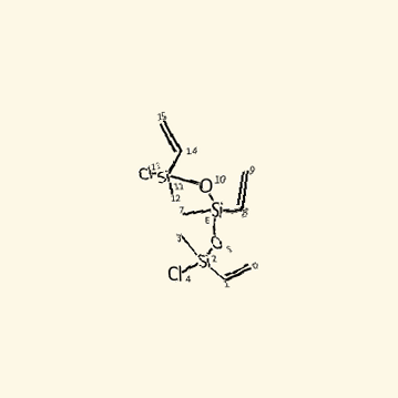 C=C[Si](C)(Cl)O[Si](C)(C=C)O[Si](C)(Cl)C=C